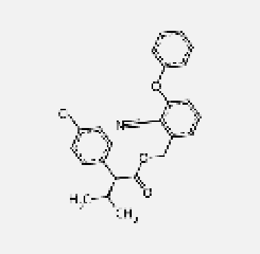 CC(C)[C@H](C(=O)OCc1cccc(Oc2ccccc2)c1C#N)c1ccc(Cl)cc1